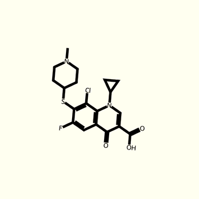 CN1CCC(Sc2c(F)cc3c(=O)c(C(=O)O)cn(C4CC4)c3c2Cl)CC1